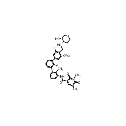 COc1cc(-c2cccc(-c3cccc(NC(=O)c4cn(C)c(=O)n(C)c4=O)c3C)c2F)cc(F)c1CN[C@H]1CCOC[C@@H]1O